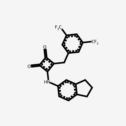 O=c1c(Cc2cc(C(F)(F)F)cc(C(F)(F)F)c2)c(Nc2ccc3c(c2)CCC3)c1=O